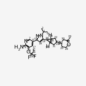 CC(C)n1nc(-c2cnc(N)c(OC(F)(F)F)c2)cc1[C@H]1[C@@H]2C[C@@H](N3CCO[C@H](C)C3)C[C@@H]21